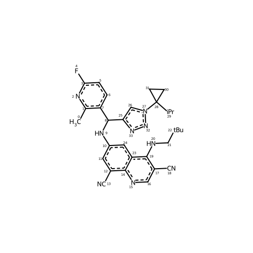 Cc1nc(F)ccc1C(Nc1cc(C#N)c2ncc(C#N)c(NCC(C)(C)C)c2c1)c1cn(C2(C(C)C)CC2)nn1